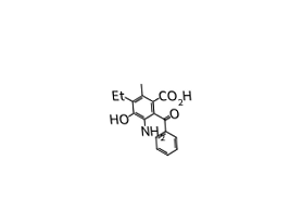 CCc1c(C)c(C(=O)O)c(C(=O)c2ccccc2)c(N)c1O